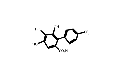 O=C(O)c1cc(O)c(O)c(O)c1-c1ccc(C(F)(F)F)cc1